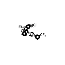 CCN1C(=O)C(CCN2CCN(c3cccc(C(F)(F)F)c3)CC2)(c2ccccc2)c2cc(F)ccc21.Cl.Cl